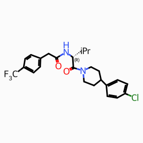 CC(C)[C@@H](NC(=O)Cc1ccc(C(F)(F)F)cc1)C(=O)N1CCC(c2ccc(Cl)cc2)CC1